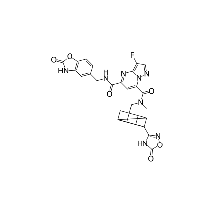 CN(CC12CC34C1C1C2C3C14c1noc(=O)[nH]1)C(=O)c1cc(C(=O)NCc2ccc3oc(=O)[nH]c3c2)nc2c(F)cnn12